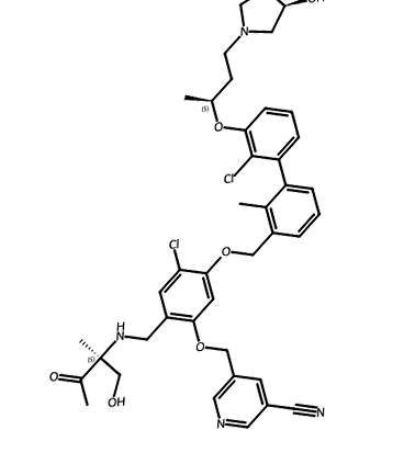 CC(=O)[C@](C)(CO)NCc1cc(Cl)c(OCc2cccc(-c3cccc(O[C@@H](C)CCN4CC[C@@H](O)C4)c3Cl)c2C)cc1OCc1cncc(C#N)c1